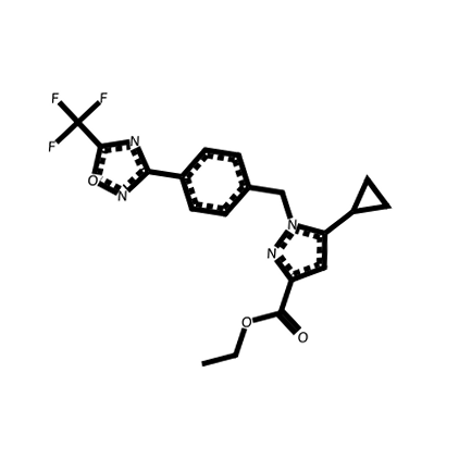 CCOC(=O)c1cc(C2CC2)n(Cc2ccc(-c3noc(C(F)(F)F)n3)cc2)n1